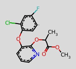 COC(=O)C(C)Oc1ncccc1Oc1c[c]c(F)cc1Cl